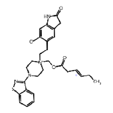 CC/C=C/CC(=O)OC[N+]1(CCc2cc3c(cc2Cl)NC(=O)C3)CCN(c2nsc3ccccc23)CC1